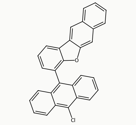 Clc1c2ccccc2c(-c2cccc3c2oc2cc4ccccc4cc23)c2ccccc12